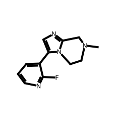 CN1CCn2c(-c3cccnc3F)cnc2C1